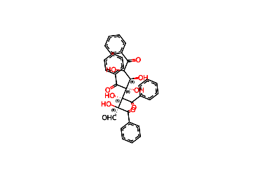 O=C[C@@](O)(C(=O)c1ccccc1)[C@](O)(C(=O)c1ccccc1)[C@@](O)(C(=O)c1ccccc1)[C@H](O)C(O)C(=O)c1ccccc1